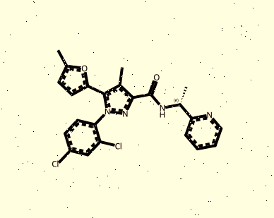 Cc1ccc(-c2c(C)c(C(=O)N[C@H](C)c3ccccn3)nn2-c2ccc(Cl)cc2Cl)o1